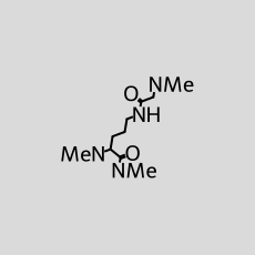 CNCC(=O)NCCCC(NC)C(=O)NC